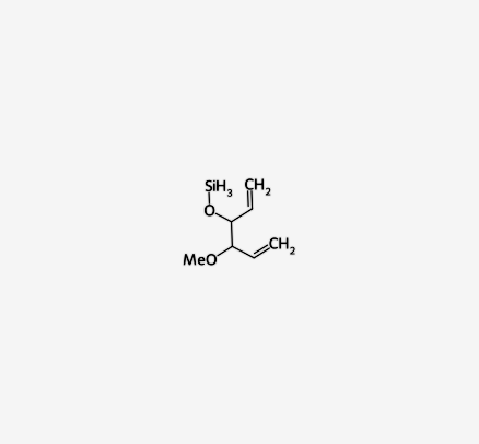 C=CC(OC)C(C=C)O[SiH3]